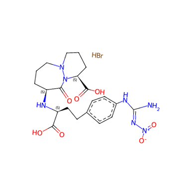 Br.NC(=N[N+](=O)[O-])Nc1ccc(CC[C@H](N[C@H]2CCCN3CCC[C@@H](C(=O)O)N3C2=O)C(=O)O)cc1